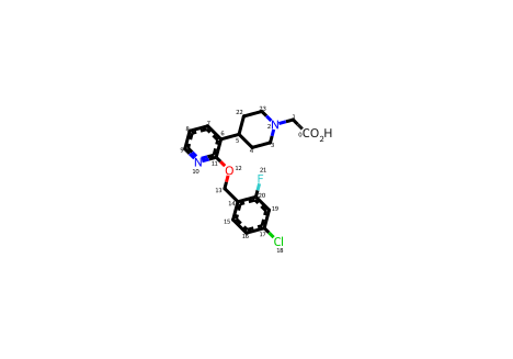 O=C(O)CN1CCC(c2cccnc2OCc2ccc(Cl)cc2F)CC1